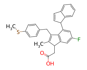 CSc1ccc(CC2=C(C)C(CC(=O)O)c3cc(F)cc(C4C=Cc5ccccc54)c32)cc1